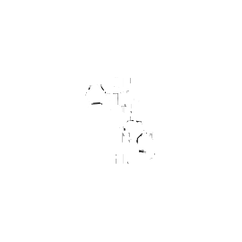 C[C@]1(c2ccccc2)CCN(c2cnc(C(=O)O)c(Cl)c2)C1